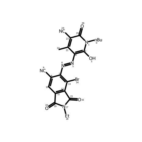 CCCCn1c(O)c(/N=N/c2c(C#N)cc3c(c2Br)C(=O)N(CC)C3=O)c(C)c(C#N)c1=O